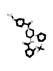 COc1ccc(C(=O)N2CC[C@@H](NC(=O)c3ccccc3OC(F)(F)F)[C@@H](c3ccccc3)C2)cc1